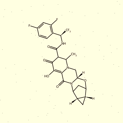 CC1C(C(=O)N[C@@H](c2ccc(F)cc2F)C(F)(F)F)C(=O)C(O)=C2C(=O)N3C4CC(O[C@H]3CN21)[C@@H]1C[C@H]41